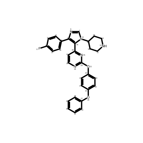 Fc1ccc(-c2ncn(C3CCNCC3)c2-c2ccnc(Oc3ccc(Oc4ccccc4)cc3)n2)cc1